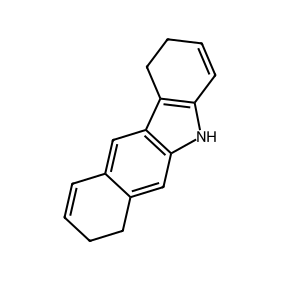 C1=Cc2cc3c4c([nH]c3cc2CC1)C=CCC4